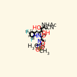 CC(=O)N[C@H](CC#N)[C@@H](O)[C@H](O)[C@H](Cc1cc(F)cc(F)c1)NC(=O)c1coc(N(C)S(C)(=O)=O)n1